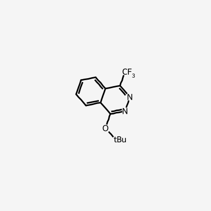 CC(C)(C)Oc1nnc(C(F)(F)F)c2ccccc12